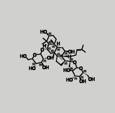 CC(C)=CCC[C@](C)(OC1O[C@H](CO)[C@@H](O)[C@H](O)[C@H]1O)[C@H]1CC[C@]2(C)[C@@H]1[C@H](O)C[C@@H]1[C@@]3(C)CC[C@H](O)C(C)(C)[C@@H]3[C@@H](OC3OC(CO)[C@@H](O)[C@H](O)[C@H]3O)C[C@]12C